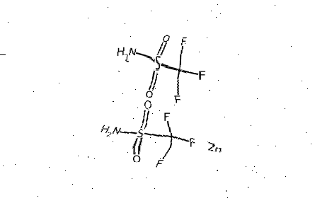 NS(=O)(=O)C(F)(F)F.NS(=O)(=O)C(F)(F)F.[Zn]